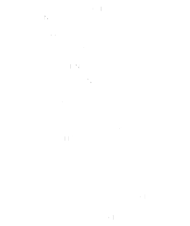 C/C(=N\NC(=O)c1oncc1C)c1csc(-c2ccc(Cl)c(Cl)c2)c1O